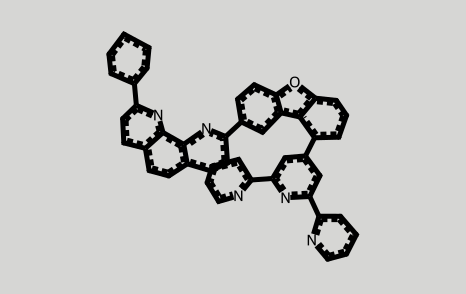 c1ccc(-c2ccc3ccc4ccc(-c5ccc6oc7cccc(-c8cc(-c9ccccn9)nc(-c9ccccn9)c8)c7c6c5)nc4c3n2)cc1